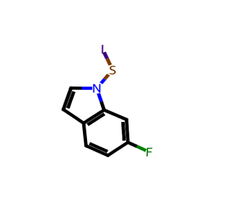 Fc1ccc2ccn(SI)c2c1